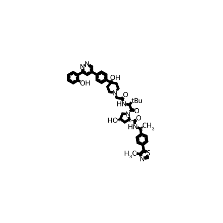 Cc1ncsc1-c1ccc([C@H](C)NC(=O)[C@@H]2C[C@@H](O)CN2C(=O)C(NC(=O)CN2CCC(O)(c3ccc(-c4cnnc(-c5ccccc5O)c4)cc3)CC2)C(C)(C)C)cc1